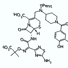 CCCCCN(CC1=C(C(=O)O)N2C(=O)[C@@H](NC(=O)/C(=N\OC(C)(C)C(=O)O)c3nsc(N)n3)[C@H]2SC1)C1CCN(C(=O)c2ccc(O)c(O)c2)CC1